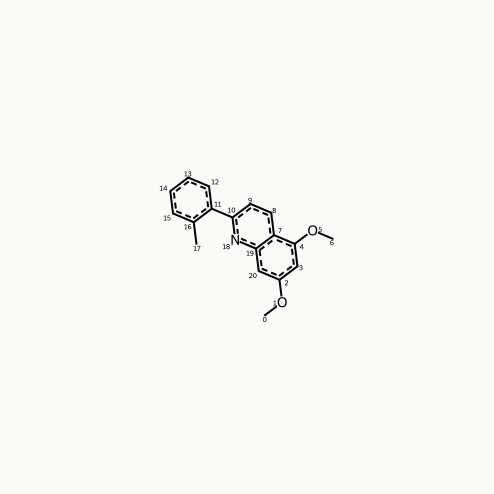 COc1cc(OC)c2ccc(-c3ccccc3C)nc2c1